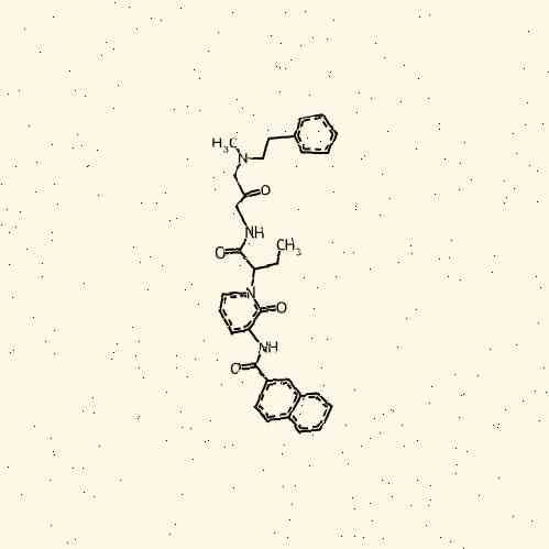 CCC(C(=O)NCC(=O)CN(C)CCc1ccccc1)n1cccc(NC(=O)c2ccc3ccccc3c2)c1=O